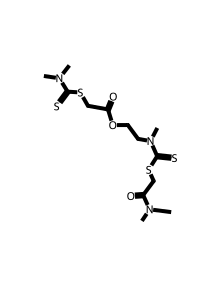 CN(C)C(=O)CSC(=S)N(C)CCOC(=O)CSC(=S)N(C)C